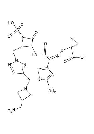 NCC1CN(Cc2cnn(CC3C(NC(=O)/C(=N\OC4(C(=O)O)CC4)c4csc(N)n4)C(=O)N3S(=O)(=O)O)n2)C1